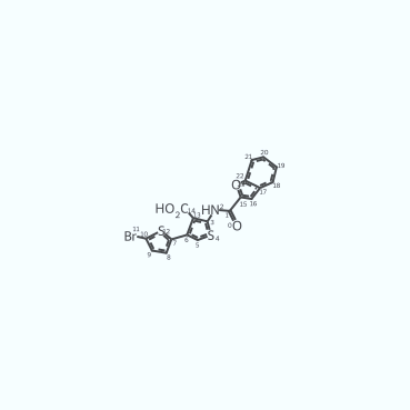 O=C(Nc1scc(-c2ccc(Br)s2)c1C(=O)O)c1cc2ccccc2o1